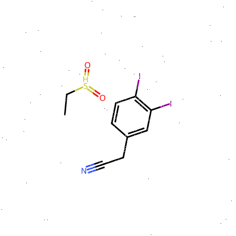 CC[SH](=O)=O.N#CCc1ccc(I)c(I)c1